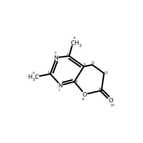 Cc1nc(C)c2c(n1)OC(=O)CC2